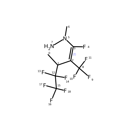 CC(/C(=C(/F)N(C)N)C(F)(F)F)C(F)(F)C(F)(F)F